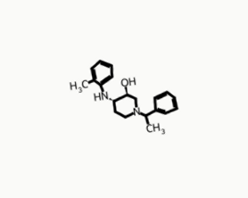 Cc1ccccc1N[C@H]1CCN(C(C)c2ccccc2)C[C@@H]1O